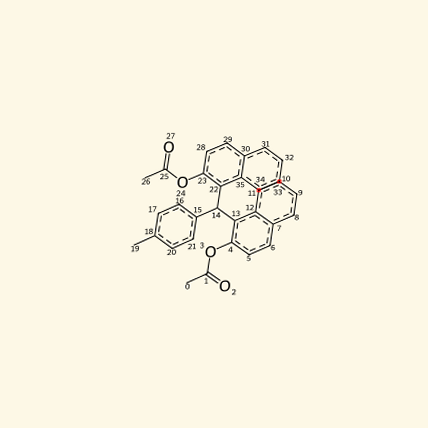 CC(=O)Oc1ccc2ccccc2c1C(c1ccc(C)cc1)c1c(OC(C)=O)ccc2ccccc12